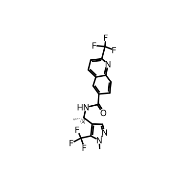 C[C@H](NC(=O)c1ccc2nc(C(F)(F)F)ccc2c1)c1cnn(C)c1C(F)(F)F